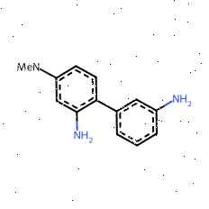 CNc1ccc(-c2cccc(N)c2)c(N)c1